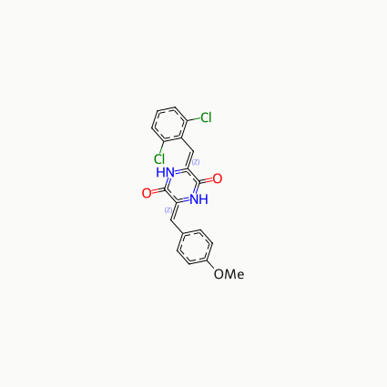 COc1ccc(/C=c2\[nH]c(=O)/c(=C/c3c(Cl)cccc3Cl)[nH]c2=O)cc1